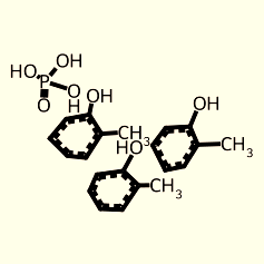 Cc1ccccc1O.Cc1ccccc1O.Cc1ccccc1O.O=P(O)(O)O